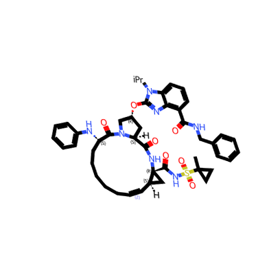 CC(C)n1c(O[C@@H]2C[C@H]3C(=O)N[C@]4(C(=O)NS(=O)(=O)C5(C)CC5)C[C@H]4/C=C\CCCCC[C@H](Nc4ccccc4)C(=O)N3C2)nc2c(C(=O)NCc3ccccc3)cccc21